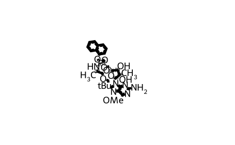 COc1nc(N)nc2c1ncn2[C@@H]1O[C@H](CO[P@@](=O)(N[C@@H](C)C(=O)OCC(C)(C)C)Oc2cccc3ccccc23)[C@@H](O)[C@@]1(C)O